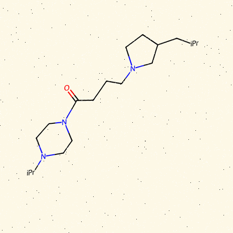 CC(C)CC1CCN(CCCC(=O)N2CCN(C(C)C)CC2)C1